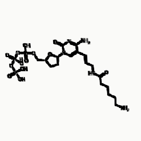 NCCCCCC(=O)NC/C=C/c1cn([C@H]2CC[C@@H](COP(=O)(O)OP(=O)(O)OP(=O)(O)O)O2)c(=O)nc1N